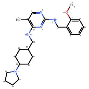 N#Cc1cnc(NCc2ccccc2OC(F)(F)F)nc1NCC1CCC(N2CCCC2)CC1